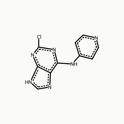 Clc1nc(Nc2ccncc2)c2nc[nH]c2n1